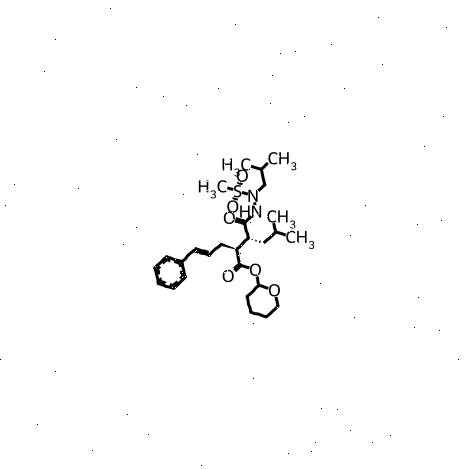 CC(C)C[C@@H](C(=O)NN(CC(C)C)S(C)(=O)=O)[C@H](CC=Cc1ccccc1)C(=O)OC1CCCCO1